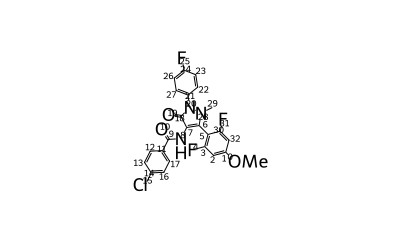 COc1cc(F)c(-c2c(NC(=O)c3ccc(Cl)cc3)c(=O)n(-c3ccc(F)cc3)n2C)c(F)c1